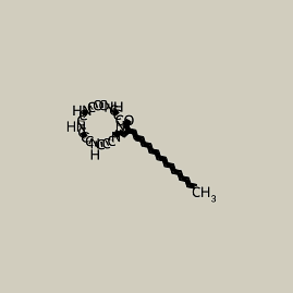 CCCCCCCCCCCCCCCC=CCC1CC2=NCCCNCCCNCCNCCCNCCCN2C1=O